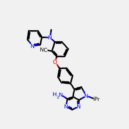 CC(C)n1cc(-c2ccc(Oc3cccc(N(C)c4cccnc4)c3C#N)cc2)c2c(N)ncnc21